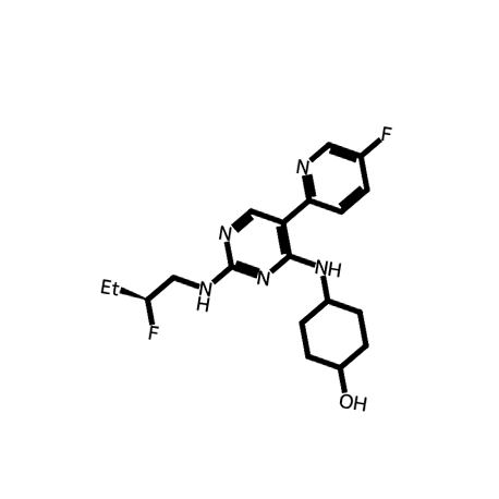 CC[C@H](F)CNc1ncc(-c2ccc(F)cn2)c(NC2CCC(O)CC2)n1